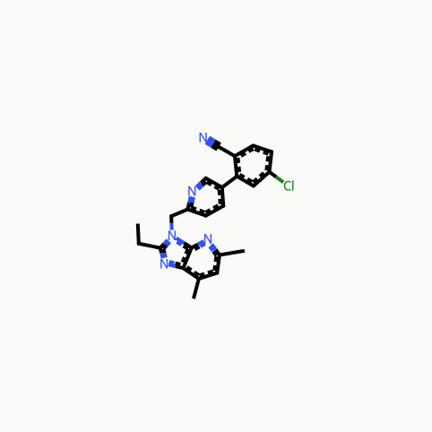 CCc1nc2c(C)cc(C)nc2n1Cc1ccc(-c2cc(Cl)ccc2C#N)cn1